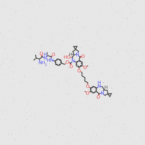 COc1cc2c(cc1OCCCCCOc1cc3c(cc1OC)C(=O)N1CC4(CC4)C[C@H]1[C@H](O)N3C(=O)OCc1ccc(NC(=O)[C@H](C)NC(=O)[C@@H](N)C(C)C)cc1)NC[C@@H]1CC3(CC3)CN1C2=O